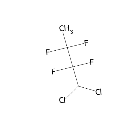 CC(F)(F)C(F)(F)C(Cl)Cl